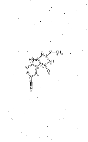 CSc1nc2[nH]c3ccc(C#N)cc3c2c(=O)[nH]1